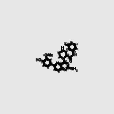 COc1cc(-c2ccc3nc(N)nc(N4CCNCC4C(=O)Nc4cccc(C)c4)c3n2)ccc1O